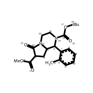 COC(=O)C1CC2C(c3ccccc3C)N(C(=O)OC(C)(C)C)CCN2C1=O